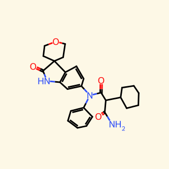 NC(=O)C(C(=O)N(c1ccccc1)c1ccc2c(c1)NC(=O)C21CCOCC1)C1CCCCC1